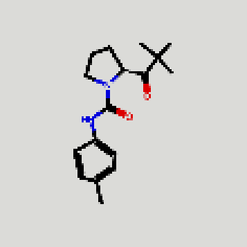 Cc1ccc(NC(=O)N2CCC[C@H]2C(=O)C(C)(C)C)cc1